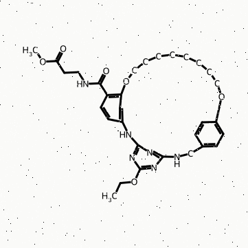 CCOc1nc2nc(n1)Nc1ccc(C(=O)NCCC(=O)OC)c(c1)OCCCCCCCCOc1ccc(cc1)CN2